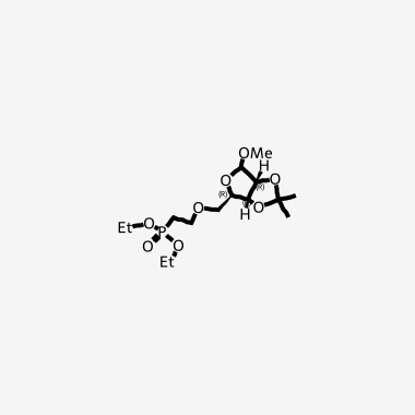 CCOP(=O)(CCOC[C@H]1OC(OC)[C@@H]2OC(C)(C)O[C@H]12)OCC